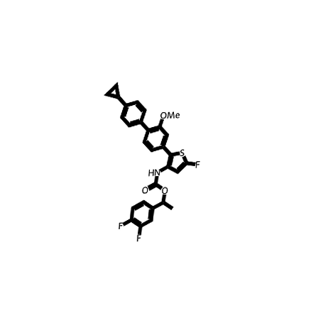 COc1cc(-c2sc(F)cc2NC(=O)OC(C)c2ccc(F)c(F)c2)ccc1-c1ccc(C2CC2)cc1